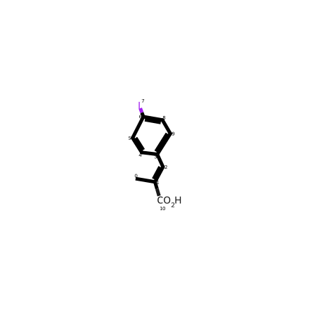 CC(=Cc1ccc(I)cc1)C(=O)O